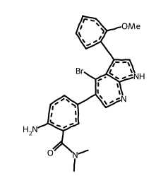 COc1ccccc1-c1c[nH]c2ncc(-c3ccc(N)c(C(=O)N(C)C)c3)c(Br)c12